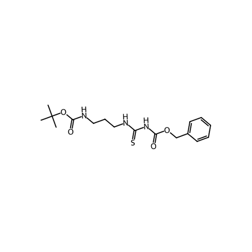 CC(C)(C)OC(=O)NCCCNC(=S)NC(=O)OCc1ccccc1